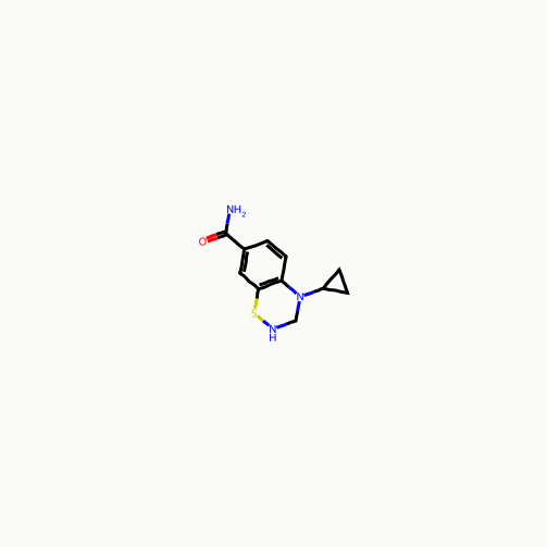 NC(=O)c1ccc2c(c1)SNCN2C1CC1